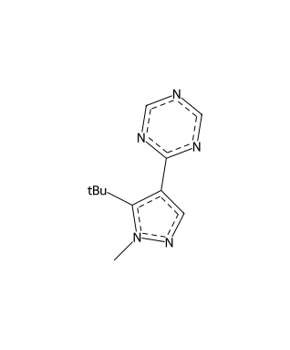 Cn1ncc(-c2ncncn2)c1C(C)(C)C